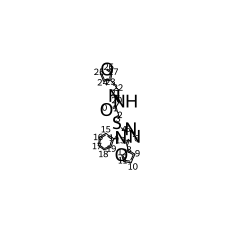 O=C(CSc1nnc(-c2ccco2)n1-c1ccccc1)NN=Cc1ccoc1